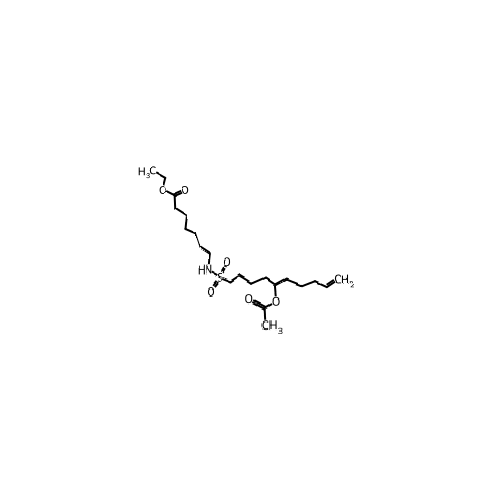 C=CCCCC(CCCCS(=O)(=O)NCCCCCCC(=O)OCC)OC(C)=O